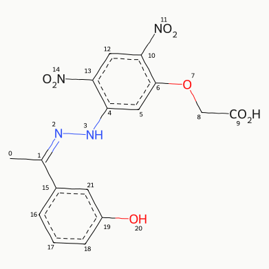 CC(=NNc1cc(OCC(=O)O)c([N+](=O)[O-])cc1[N+](=O)[O-])c1cccc(O)c1